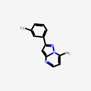 Cc1ccnc2cc(-c3cccc(C(F)(F)F)c3)nn12